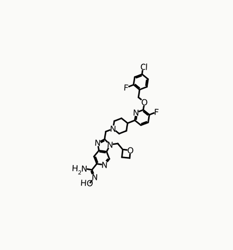 NC(=NO)c1cc2nc(CN3CCC(c4ccc(F)c(OCc5ccc(Cl)cc5F)n4)CC3)n(CC3CCO3)c2cn1